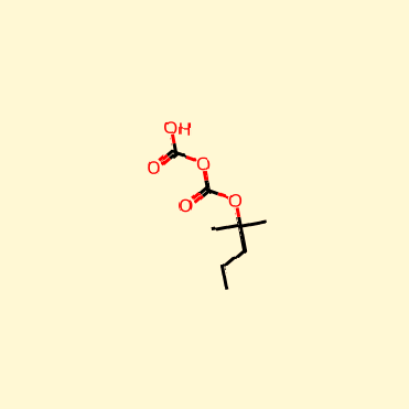 CCCC(C)(C)OC(=O)OC(=O)O